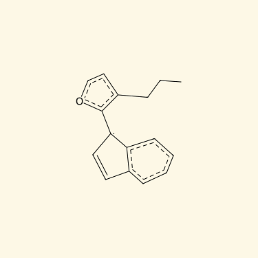 CCCc1ccoc1[C]1C=Cc2ccccc21